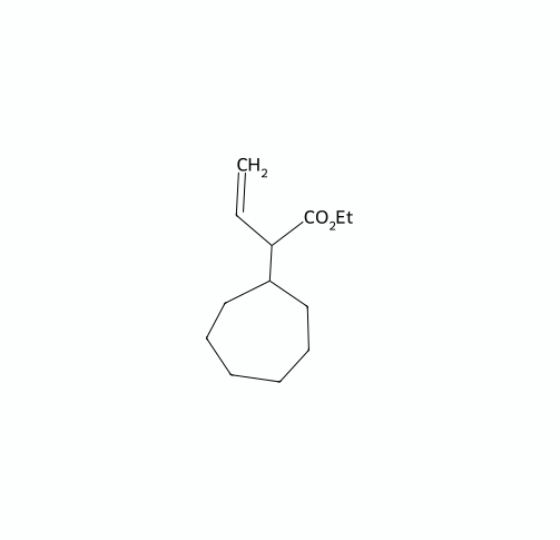 C=CC(C(=O)OCC)C1CCCCCC1